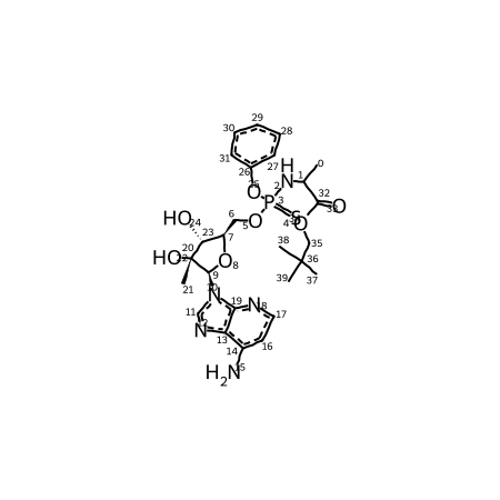 CC(NP(=S)(OC[C@H]1O[C@@H](n2cnc3c(N)ccnc32)[C@](C)(O)[C@@H]1O)Oc1ccccc1)C(=O)OCC(C)(C)C